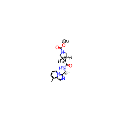 Cc1cccn2c([C@@H](C)NC(=O)[C@H]3[C@@H]4CN(C(=O)OC(C)(C)C)C[C@@H]43)ncc12